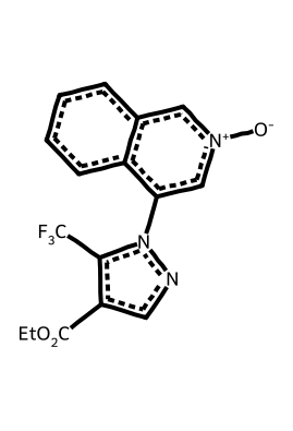 CCOC(=O)c1cnn(-c2c[n+]([O-])cc3ccccc23)c1C(F)(F)F